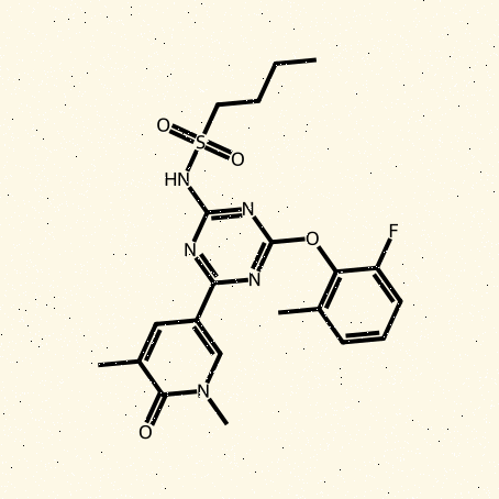 CCCCS(=O)(=O)Nc1nc(Oc2c(C)cccc2F)nc(-c2cc(C)c(=O)n(C)c2)n1